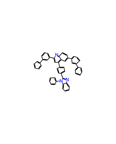 c1ccc(-c2cccc(-c3ccc4nc(-c5cccc(-c6ccccc6)c5)cc(-c5ccc(-c6nc7ccccc7n6-c6ccccc6)cc5)c4c3)c2)cc1